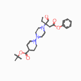 CCC(C=O)(CC(=O)Oc1ccccc1)N1CCN(N2CCC(C(=O)OC(C)(C)C)CC2)CC1